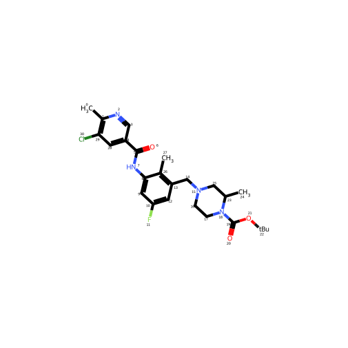 Cc1ncc(C(=O)Nc2cc(F)cc(CN3CCN(C(=O)OC(C)(C)C)C(C)C3)c2C)cc1Cl